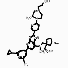 COCC1(CN(C)c2cc(-c3cc(C4CC4)nc(C(F)(F)F)c3)nc3nc(-c4ccc(N5CCN(CCC(=O)[O-])C[C@H]5C)nc4)[nH]c23)CCCC1.[Na+]